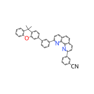 CC1(C)c2ccccc2Oc2cc(-c3cccc(-c4ccc5ccc6ccc(-c7cccc(C#N)c7)nc6c5n4)c3)ccc21